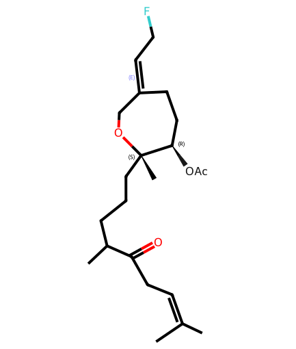 CC(=O)O[C@@H]1CC/C(=C\CF)CO[C@@]1(C)CCCC(C)C(=O)CC=C(C)C